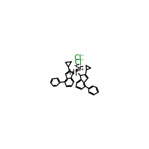 C[Si](C)=[Hf+2]([CH]1C(C2CC2)=Cc2c(-c3ccccc3)cccc21)[CH]1C(C2CC2)=Cc2c(-c3ccccc3)cccc21.[Cl-].[Cl-]